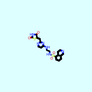 O=C1NC(=O)/C(=C/c2nccc(NCCNS(=O)(=O)c3cccc4cnccc34)n2)S1